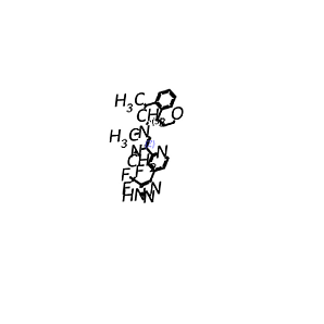 C=N/C(=C\N(C)C[C@H]1CCOc2cccc(C(C)C)c21)c1cc(-c2nn[nH]c2C(F)(F)F)ccn1